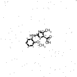 COc1ccccc1Nc1nc(C)c(C(=O)O)s1